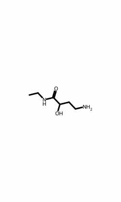 CCNC(=O)C(O)CCN